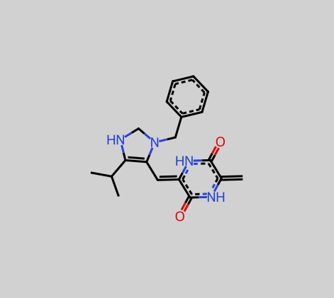 C=c1[nH]c(=O)c(=CC2=C(C(C)C)NCN2Cc2ccccc2)[nH]c1=O